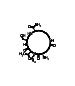 CC(O)[C@H]1C(=O)N[C@@H](CO)CN[C@H](C(N)=O)CCCCNC(=O)CC[C@H](N)C(=O)N1C